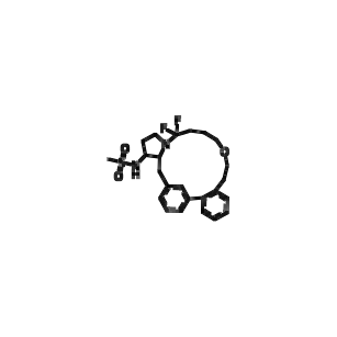 CS(=O)(=O)NC1CCN2C1Cc1cccc(c1)-c1ccccc1CCOCCCC2(F)F